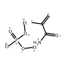 C=C(C)C(N)=O.CCOP(=O)(Cl)OCC